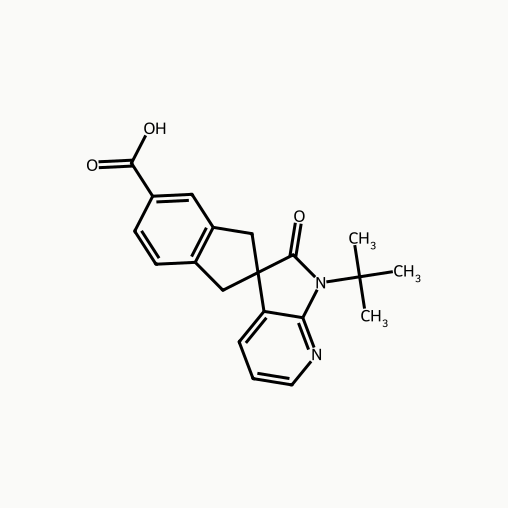 CC(C)(C)N1C(=O)C2(Cc3ccc(C(=O)O)cc3C2)c2cccnc21